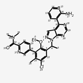 CCOc1c(C(C)n2ncc3c(-c4cccbc4N)ncnc32)cc(Cl)c(C)c1-c1ccc(C(=O)N(C)C)nc1